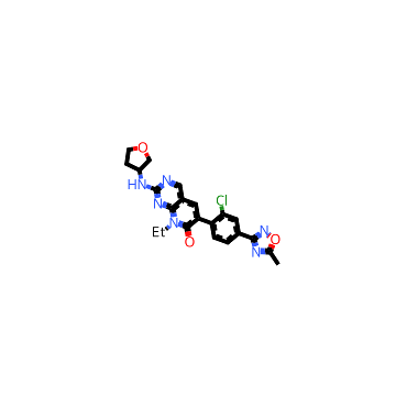 CCn1c(=O)c(-c2ccc(-c3noc(C)n3)cc2Cl)cc2cnc(NC3CCOC3)nc21